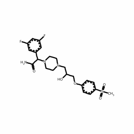 CS(=O)(=O)c1ccc(OCC(O)CN2CCN(C(C(N)=O)c3cc(F)cc(F)c3)CC2)cc1